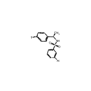 CC(=O)c1cccc(S(=O)(=O)N[C@H](C)c2ccc(F)cc2)c1